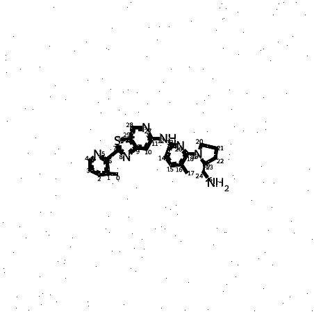 Cc1cccnc1-c1nc2cc(Nc3ccc(C)c(N4CCC[C@H]4CN)n3)ncc2s1